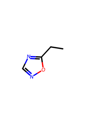 CCc1ncno1